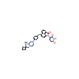 CC1(CN2CCN(c3ccc(Cc4ccc5c6c(cccc46)C(=O)N5C4CCC(=O)NC4=O)cc3)CC2)CCC1